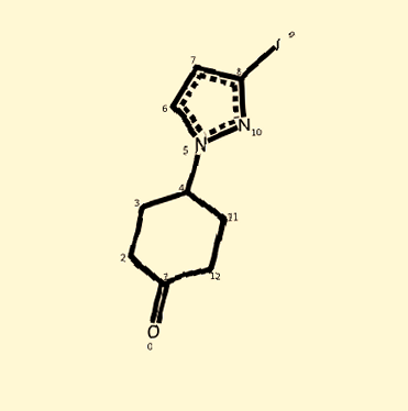 O=C1CCC(n2ccc(I)n2)CC1